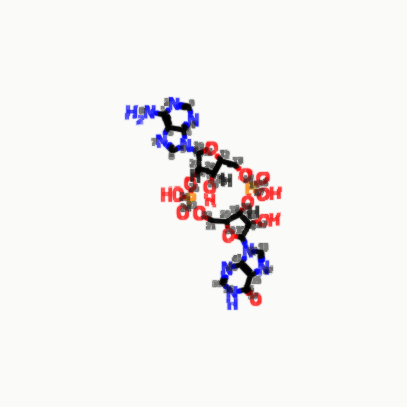 Nc1ncnc2c1ncn2[C@H]1OC2COP(=O)(O)O[C@@H]3C(COP(=O)(O)O[C@@H]1[C@@H]2O)OC(n1cnc2c(=O)[nH]cnc21)[C@@H]3O